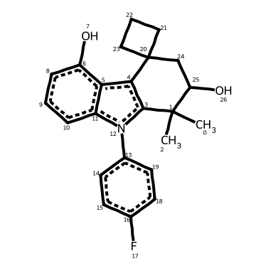 CC1(C)c2c(c3c(O)cccc3n2-c2ccc(F)cc2)C2(CCC2)CC1O